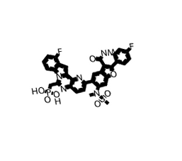 CNC(=O)c1c(-c2ccc(F)cc2)oc2cc(N(C)S(C)(=O)=O)c(-c3ccc4nc(CP(=O)(O)O)n5c6cccc(F)c6cc5c4n3)cc12